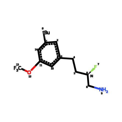 CC(C)(C)c1cc(CC[C@H](F)CN)cc(OC(F)(F)F)c1